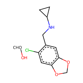 Clc1cc2c(cc1CNC1CC1)OCO2.O=CO